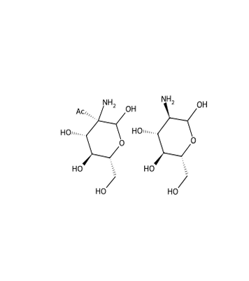 CC(=O)[C@]1(N)C(O)O[C@H](CO)[C@@H](O)[C@@H]1O.N[C@H]1C(O)O[C@H](CO)[C@@H](O)[C@@H]1O